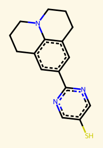 Sc1cnc(-c2cc3c4c(c2)CCCN4CCC3)nc1